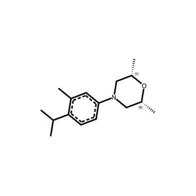 Cc1cc(N2C[C@@H](C)O[C@@H](C)C2)ccc1C(C)C